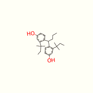 CCCC(c1ccc(O)cc1C(C)(C)CC)c1ccc(O)cc1C(C)(C)CC